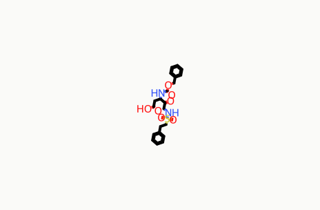 O=C(O)CC(NC(=O)OCc1ccccc1)C(=O)CNS(=O)(=O)CCc1ccccc1